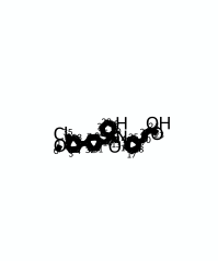 COc1ccc(-c2ccc(CC3(C(=O)Nc4cccc(/C=C/C(=O)O)c4)CCCCC3)cc2)cc1Cl